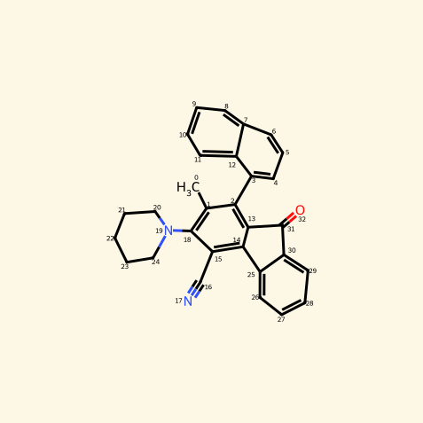 Cc1c(-c2cccc3ccccc23)c2c(c(C#N)c1N1CCCCC1)-c1ccccc1C2=O